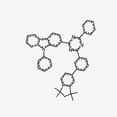 CC1(C)CC(C)(C)c2cc(-c3cccc(-c4nc(-c5ccccc5)nc(-c5ccc6c7ccccc7n(-c7ccccc7)c6c5)n4)c3)ccc21